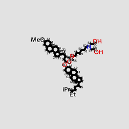 CCC(CCC(C)C1CCC2C3CC=C4CC(OC(CC[C@H](C)C5CCC6C7CCC8C[C@@H](OC)CC[C@@]8(C)C7CC[C@]65C)O[Si](C)(C)OCCCCCCN(CCO)CCO)CCC4(C)C3CCC12C)C(C)C